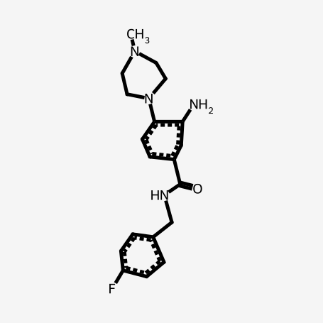 CN1CCN(c2ccc(C(=O)NCc3ccc(F)cc3)cc2N)CC1